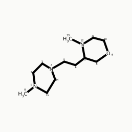 CN1CCN(CCC2COCCN2C)CC1